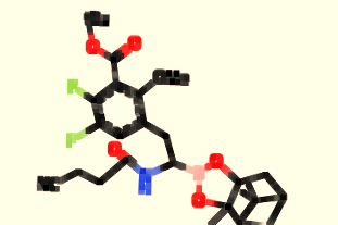 COc1c(CC(NC(=O)CCC#N)B2OC3CC4CC(C4(C)C)C3(C)O2)cc(F)c(F)c1C(=O)OC(C)(C)C